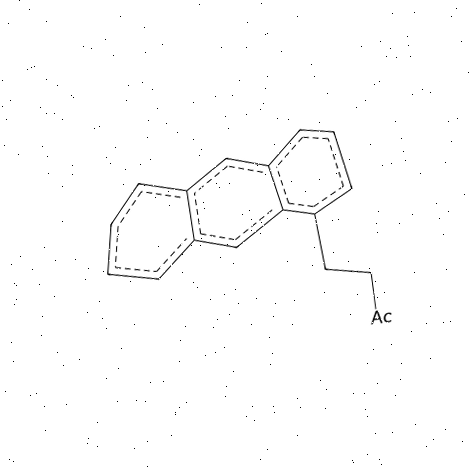 CC(=O)CCc1cccc2cc3ccccc3cc12